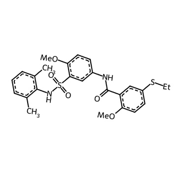 CCSc1ccc(OC)c(C(=O)Nc2ccc(OC)c(S(=O)(=O)Nc3c(C)cccc3C)c2)c1